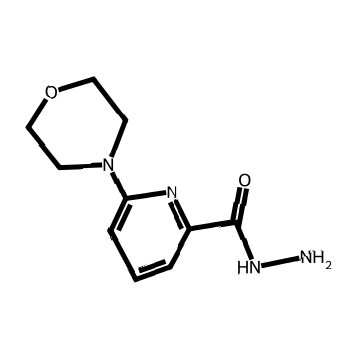 NNC(=O)c1cccc(N2CCOCC2)n1